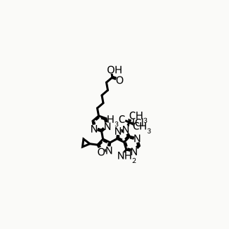 CC(C)(C)n1nc(-c2noc(C3CC3)c2-c2ncc(CCCCCC(=O)O)cn2)c2c(N)ncnc21.Cl